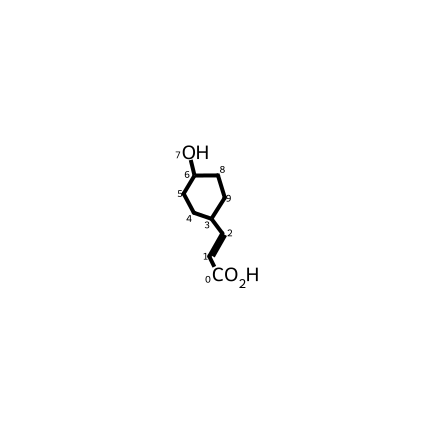 O=C(O)C=CC1CCC(O)CC1